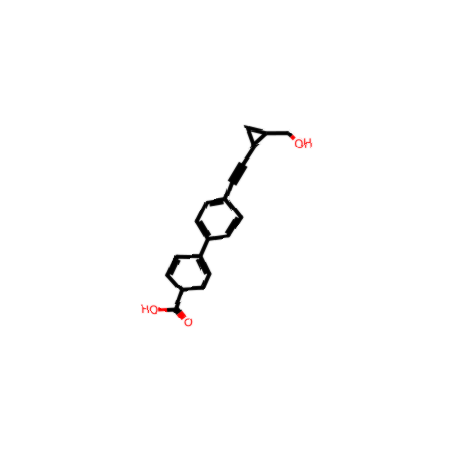 O=C(O)C1C=CC(c2ccc(C#CC3CC3CO)cc2)=CC1